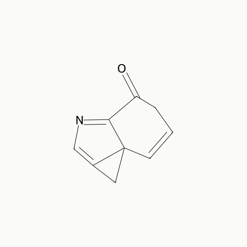 O=C1CC=CC23CC2=CN=C13